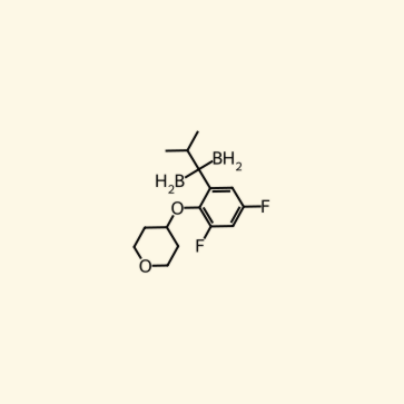 BC(B)(c1cc(F)cc(F)c1OC1CCOCC1)C(C)C